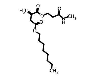 C=C(CC(=O)OCCCCCCCC)C(=O)OCCC(=O)NC